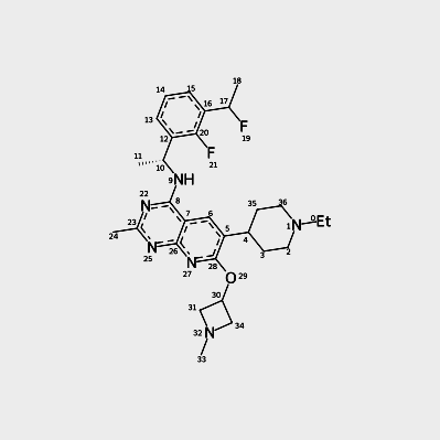 CCN1CCC(c2cc3c(N[C@H](C)c4cccc(C(C)F)c4F)nc(C)nc3nc2OC2CN(C)C2)CC1